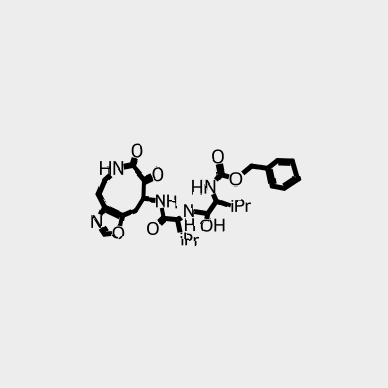 CC(C)C(NC(O)C(NC(=O)OCc1ccccc1)C(C)C)C(=O)NC1Cc2ocnc2CCNC(=O)C1=O